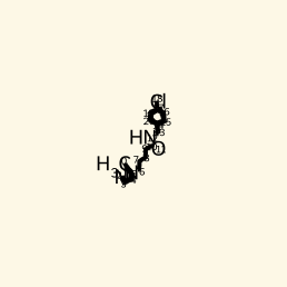 Cc1nccn1CCCCC(=O)NCc1ccc(Cl)cc1